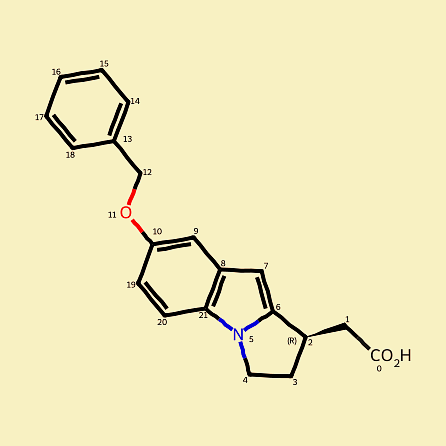 O=C(O)C[C@H]1CCn2c1cc1cc(OCc3ccccc3)ccc12